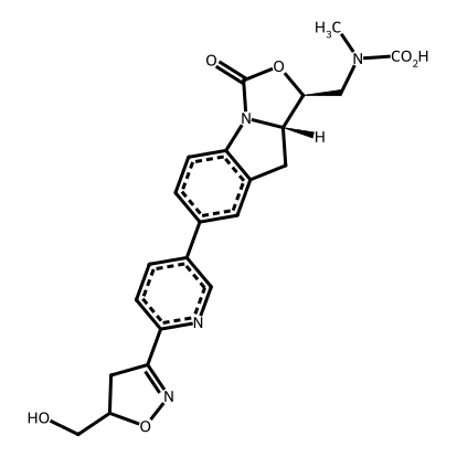 CN(C[C@@H]1OC(=O)N2c3ccc(-c4ccc(C5=NOC(CO)C5)nc4)cc3C[C@@H]12)C(=O)O